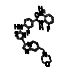 Nc1cccc(F)c1NC(=O)c1ccc(Nc2nc(-c3cnc4cc(CN5CCOCC5)ccn34)cs2)c(F)c1